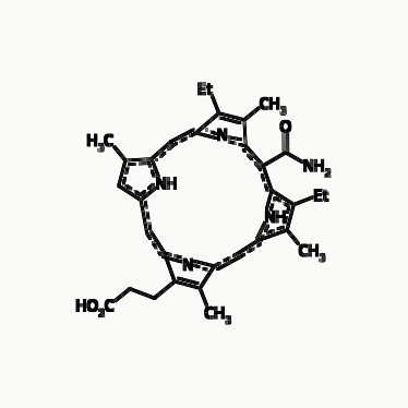 CCC1=C(C)c2nc1cc1[nH]c(cc3nc(cc4[nH]c(c(CC)c4C)c2C(N)=O)C(C)=C3CCC(=O)O)cc1C